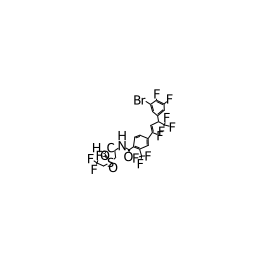 CC(CS(=O)(=O)CC(F)(F)F)NC(=O)c1ccc(/C(F)=C/C(c2cc(F)c(F)c(Br)c2)C(F)(F)F)cc1C(F)(F)F